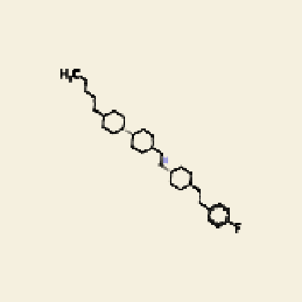 CCCCC[C@H]1CC[C@H](C2CCC(/C=C/[C@H]3CC[C@H](CCc4ccc(F)cc4)CC3)CC2)CC1